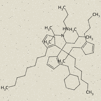 CCCCCCCCC1=C(C(C2=C(CC3CCCCC3)C=CC2)(C(CC(C)C)N(NCCC)C(C)C)C(C)([CH]C2=C(CCCC)C=CC2)CCCCCC)CC=C1